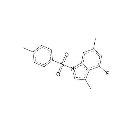 Cc1ccc(S(=O)(=O)n2cc(C)c3c(F)cc(C)cc32)cc1